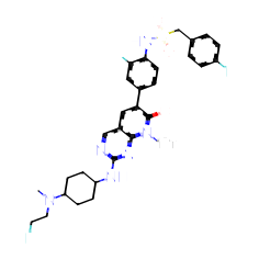 CC(C)n1c(=O)c(-c2ccc(NS(=O)(=O)Cc3ccc(F)cc3)c(F)c2)cc2cnc(NC3CCC(N(C)CCF)CC3)nc21